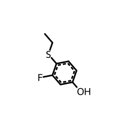 CCSc1ccc(O)cc1F